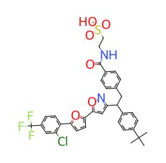 CC(C)(C)c1ccc(C(Cc2ccc(C(=O)NCCS(=O)(=O)O)cc2)c2cc(-c3ccc(-c4ccc(C(F)(F)F)cc4Cl)o3)on2)cc1